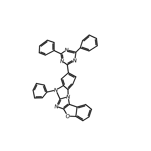 c1ccc(-c2nc(-c3ccccc3)nc(-c3ccc4c(c3)n(-c3ccccc3)c3nc5oc6ccccc6c5n43)n2)cc1